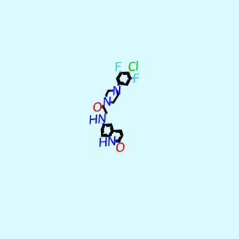 O=C(CNc1ccc2[nH]c(=O)ccc2c1)N1CCN(c2cc(F)c(Cl)c(F)c2)CC1